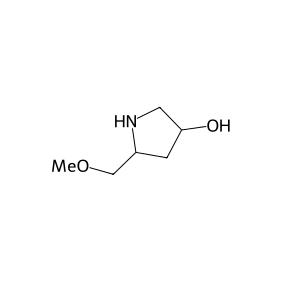 COCC1CC(O)CN1